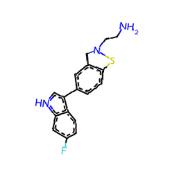 NCCN1Cc2cc(-c3c[nH]c4cc(F)ccc34)ccc2S1